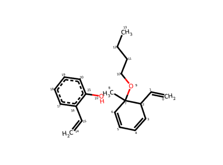 C=CC1C=CC=CC1(C)OCCCC.C=Cc1ccccc1O